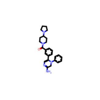 NC1=NC=C(c2cccc(C(=O)N3CCC(N4CCCC4)CC3)c2)N(c2ccccc2)C1